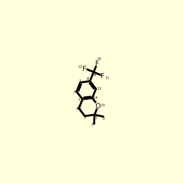 CC1(C)C[C]c2ccc(C(F)(F)F)cc2O1